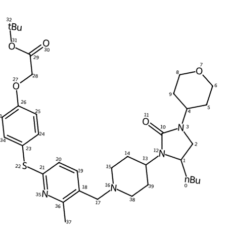 CCCCC1CN(C2CCOCC2)C(=O)N1C1CCN(Cc2ccc(Sc3ccc(OCC(=O)OC(C)(C)C)cc3)nc2C)CC1